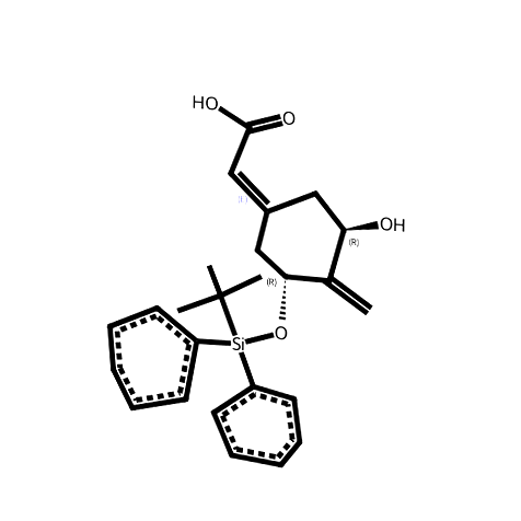 C=C1[C@H](O)C/C(=C\C(=O)O)C[C@H]1O[Si](c1ccccc1)(c1ccccc1)C(C)(C)C